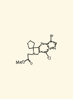 COC(=O)CN1Cc2c(nc3c(Br)cnn3c2Cl)C12CCCC2